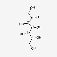 O=C(CO)[C@H](O)[C@@H](O)[C@@H](O)[C@H](O)CO